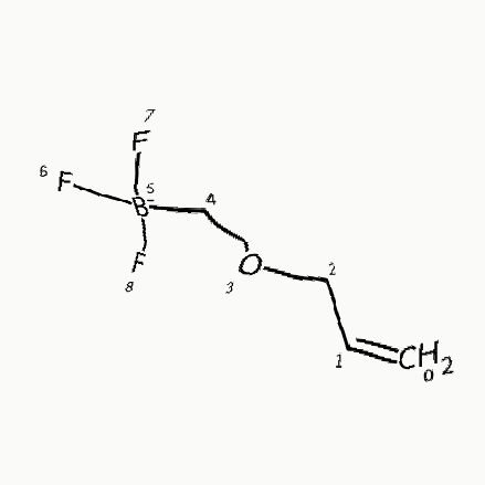 C=CCOC[B-](F)(F)F